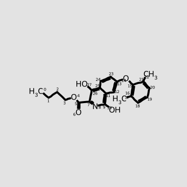 CCCCOC(=O)c1nc(O)c2cc(Oc3c(C)cccc3C)ccc2c1O